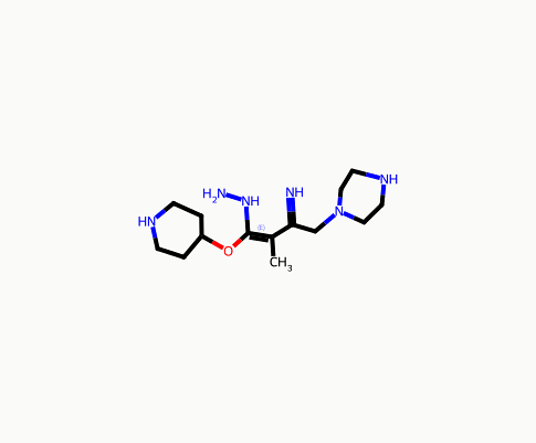 C/C(C(=N)CN1CCNCC1)=C(/NN)OC1CCNCC1